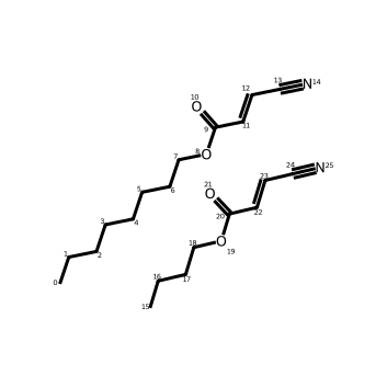 CCCCCCCCOC(=O)C=CC#N.CCCCOC(=O)C=CC#N